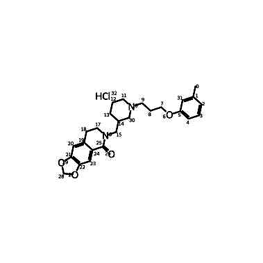 Cc1cccc(OCCCN2CCCC(CN3CCc4cc5c(cc4C3=O)OCO5)C2)c1.Cl